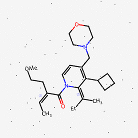 C/C=C(/CCOC)C(=O)N1C=CC(CN2CCOCC2)=C(C2CCC2)/C1=C(\C)CC